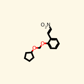 O=[N+]([O-])C=Cc1ccccc1OCOC1CCCC1